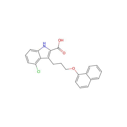 O=C(O)c1[nH]c2cccc(Cl)c2c1CCCOc1cccc2ccccc12